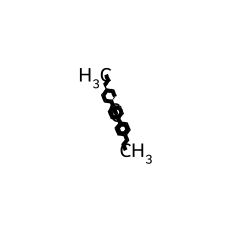 CCCc1ccc(C23CCC([C@H]4CC[C@H](CCC)CC4)(CC2)CC3)cc1